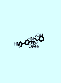 COc1cc(-c2cn[nH]c2)ccc1C(=O)N[C@H](CO)[C@@H](O)c1ccccc1